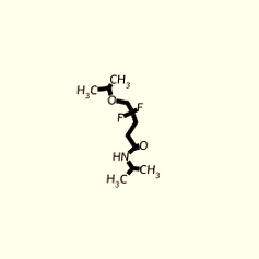 CC(C)NC(=O)CCC(F)(F)COC(C)C